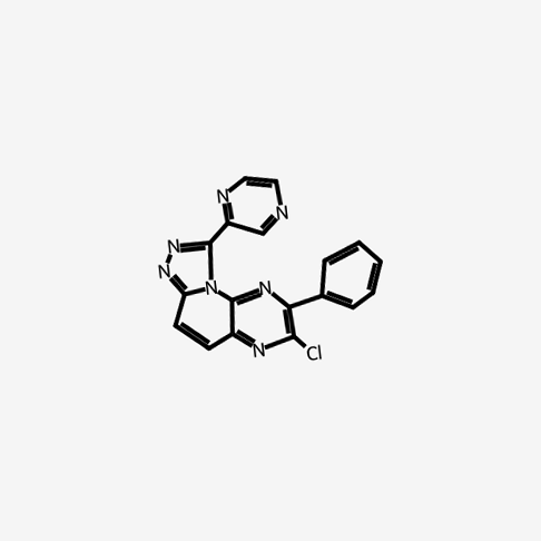 Clc1nc2ccc3nnc(-c4cnccn4)n3c2nc1-c1ccccc1